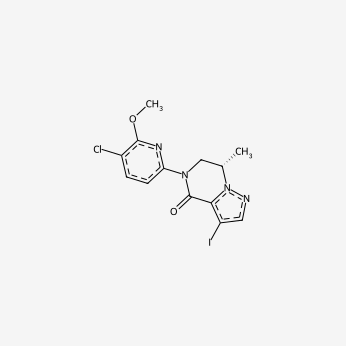 COc1nc(N2C[C@H](C)n3ncc(I)c3C2=O)ccc1Cl